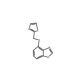 [c]1nc2c(OCc3nccs3)cccc2o1